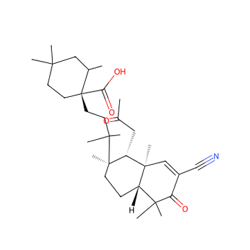 CC(=O)C[C@@H]1[C@@]2(C)C=C(C#N)C(=O)C(C)(C)[C@@H]2CC[C@@]1(C)C(C)(C)CC[C@@]1(C(=O)O)CCC(C)(C)CC1C